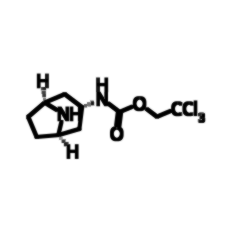 O=C(N[C@@H]1C[C@H]2CC[C@@H](C1)N2)OCC(Cl)(Cl)Cl